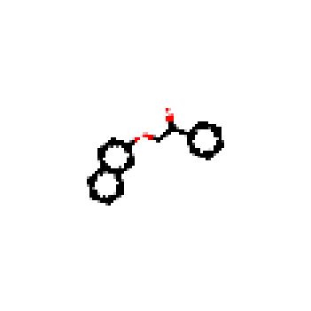 O=C(COc1ccc2ccccc2c1)c1ccccc1